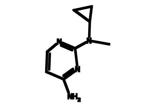 CN(c1nccc(N)n1)C1CC1